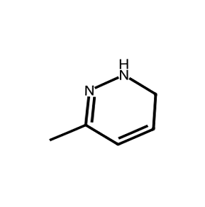 CC1=NNCC=C1